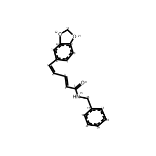 O=C(/C=C/C=C\c1ccc2c(c1)OCO2)NCc1ccccc1